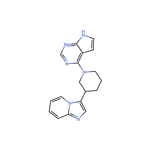 c1ccn2c(C3CCCN(c4ncnc5[nH]ccc45)C3)cnc2c1